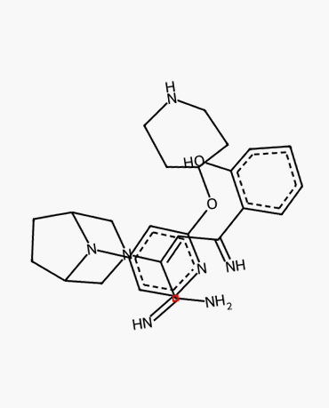 N=C(N)/C(=C\C(=N)c1ccccc1O)N1CC2CCC(C1)N2c1ccnc(OC2CCNCC2)c1